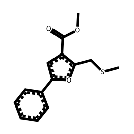 COC(=O)c1cc(-c2ccccc2)oc1CSC